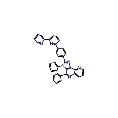 c1ccc(-c2nc3cccnc3c3nc(-c4ccc(-c5cccc(-c6ccccn6)n5)cc4)n(-c4ccccc4)c23)cc1